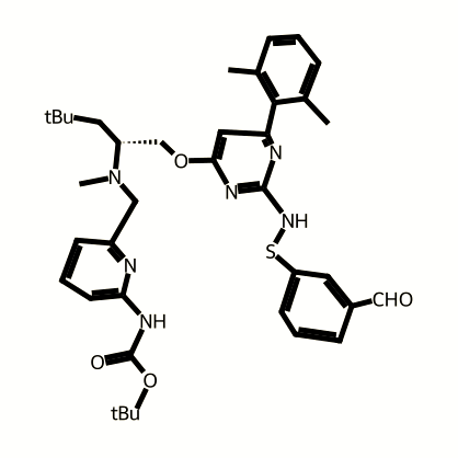 Cc1cccc(C)c1-c1cc(OC[C@@H](CC(C)(C)C)N(C)Cc2cccc(NC(=O)OC(C)(C)C)n2)nc(NSc2cccc(C=O)c2)n1